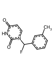 Cc1cccc(C(F)n2ccc(=O)[nH]c2=O)c1